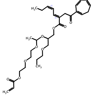 C=CC(=O)OCCOCCOC(C)OC(COCCC)COC(=O)/C(=C/C=C\CC)CC(=O)C1=CCC=CC=C1